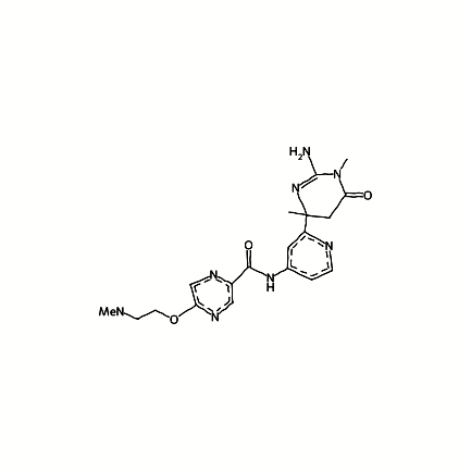 CNCCOc1cnc(C(=O)Nc2ccnc(C3(C)CC(=O)N(C)C(N)=N3)c2)cn1